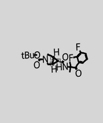 CC(C)(C)OC(=O)N1C[C@@H]2[C@H](C1)[C@H]2C(=O)NC(C)(C)C(=O)c1cccc(F)c1F